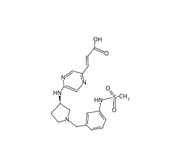 CS(=O)(=O)Nc1cccc(CN2CC[C@@H](Nc3cnc(C=CC(=O)O)cn3)C2)c1